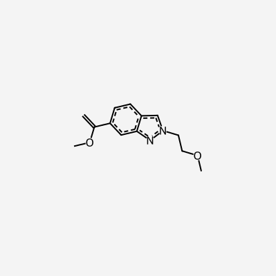 C=C(OC)c1ccc2cn(CCOC)nc2c1